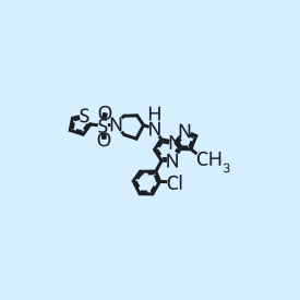 Cc1cnn2c(NC3CCN(S(=O)(=O)c4cccs4)CC3)cc(-c3ccccc3Cl)nc12